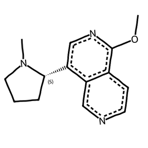 COc1ncc([C@@H]2CCCN2C)c2cnccc12